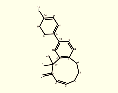 C=C1/C=C\CCCc2ccc(C3=CC=C(I)CC3)cc2C1(C)C